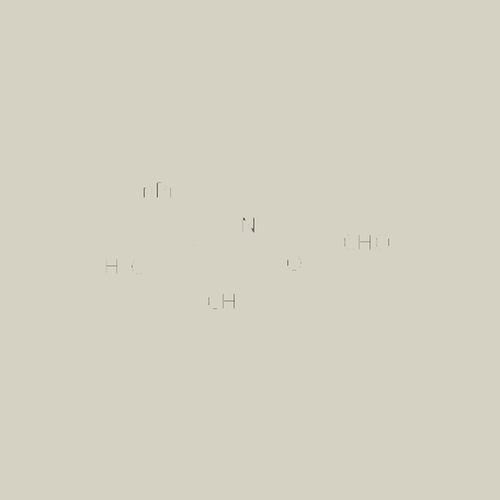 CCCC(C)(C)[N]O[C]=O